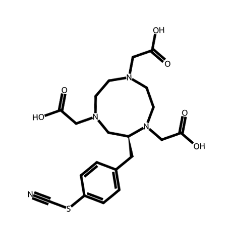 N#CSc1ccc(C[C@H]2CN(CC(=O)O)CCN(CC(=O)O)CCN2CC(=O)O)cc1